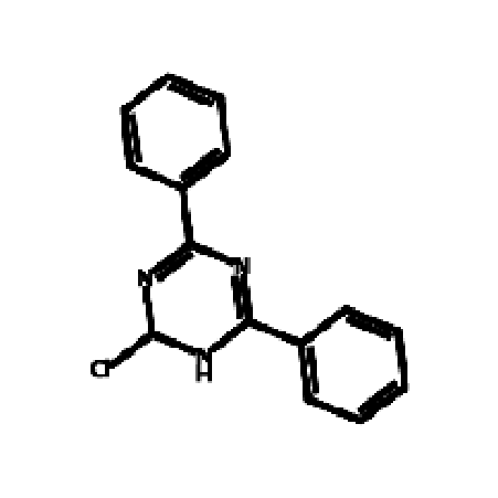 ClC1N=C(c2ccccc2)N=C(c2ccccc2)N1